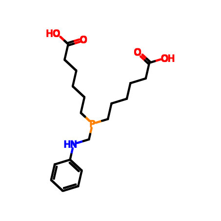 O=C(O)CCCCCP(CCCCCC(=O)O)CNc1ccccc1